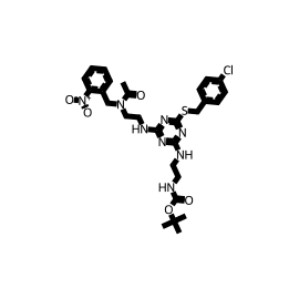 CC(=O)N(CCNc1nc(NCCNC(=O)OC(C)(C)C)nc(SCc2ccc(Cl)cc2)n1)Cc1ccccc1[N+](=O)[O-]